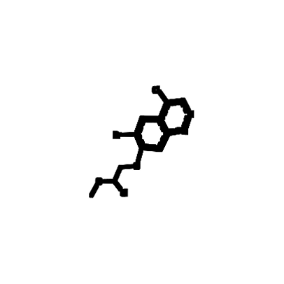 COC(Cl)COc1cc2nncc(Cl)c2cc1Br